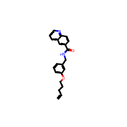 C=CCCCOc1cccc(CNC(=O)c2ccc3ncccc3c2)c1